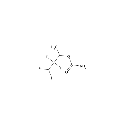 CC(OC(N)=O)C(F)(F)C(F)F